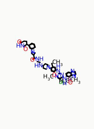 CCc1cc(Nc2ncc(Br)c(Nc3ccc4nccnc4c3P(C)(C)=O)n2)c(OC)cc1N1CCC(NCCNC(=O)C2CN(c3cccc(C4CCC(=O)NC4=O)c3)C2)CC1